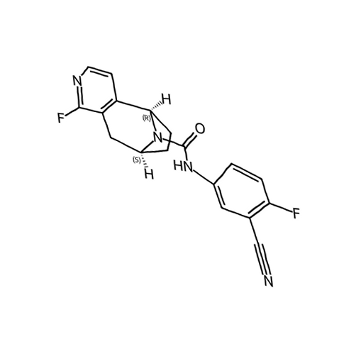 N#Cc1cc(NC(=O)N2[C@H]3CC[C@@H]2c2ccnc(F)c2C3)ccc1F